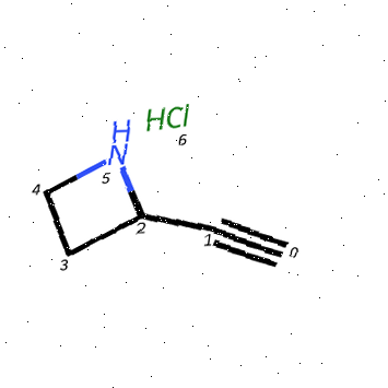 C#CC1CCN1.Cl